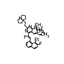 C=C/C(C)=C/c1c(/C(F)=C/c2cccc3ccc(F)c(CC)c23)nc(CCC23CCCN2CCC3)nc1N(C)C